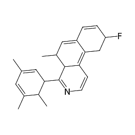 CC1=CC(C2=NC=CC3=C4CC(F)C=CC4=CC(C)C23)C(C)C(C)=C1